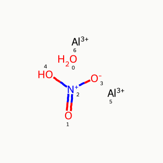 O.O=[N+]([O-])O.[Al+3].[Al+3]